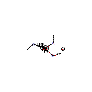 C1CO1.CCCCCCCC/C=C\CCCCCCCC(=O)O[C@H]1[C@@H]([C@@H](CO)OC(=O)CCCCCCC/C=C\CCCCCCCC)OC[C@@H]1OC(=O)CCCCCCC/C=C\CCCCCCCC